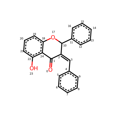 O=C1C(=Cc2ccccc2)C(c2ccccc2)Oc2cccc(O)c21